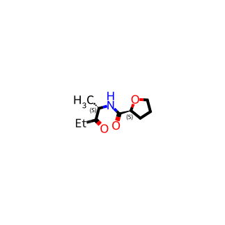 CCC(=O)[C@H](C)NC(=O)[C@@H]1CCCO1